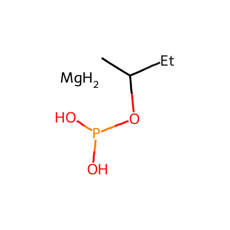 CCC(C)OP(O)O.[MgH2]